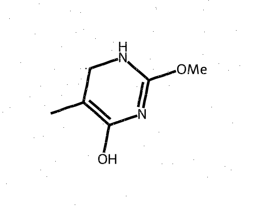 COC1=NC(O)=C(C)[CH]N1